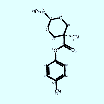 CCCCC[C@H]1OC[C@@](C#N)(C(=O)Oc2ccc(C#N)cc2)CO1